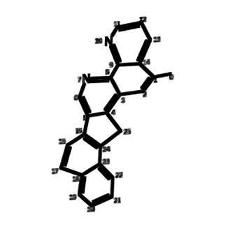 Cc1cc2c3c(cnc2c2ncccc12)-c1ccc2ccccc2c1C3